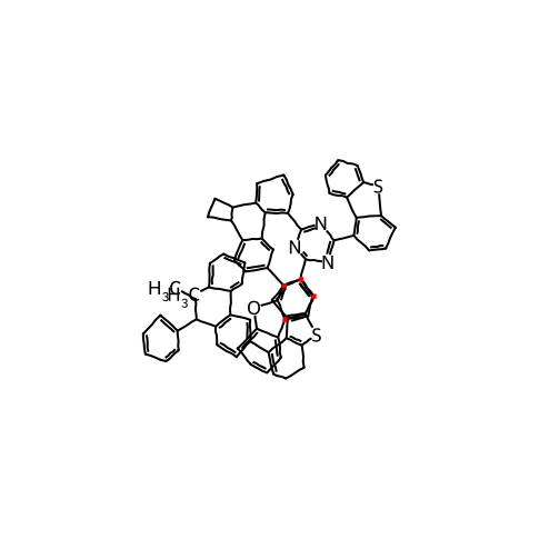 CCC(c1ccccc1)c1ccc(C2=CCCc3sc4ccc(-c5ccc6c(c5)-c5c(-c7nc(-c8ccc9c(c8)oc8ccccc89)nc(-c8cccc9sc%10ccccc%10c89)n7)cccc5C5CCC65)cc4c32)cc1-c1ccccc1C